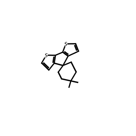 CC1(C)CCC2(CC1)c1ccsc1-c1sccc12